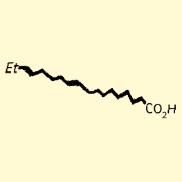 CCC=CCCCC=CCCCCCCCCC(=O)O